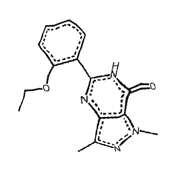 CCOc1ccccc1-c1nc2c(C)nn(C)c2c(=O)[nH]1